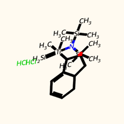 C[Si](C)(C)[N]([Si](C)(C)C)[Ti]([CH3])([CH3])(=[SiH2])[CH]1CCC2CC=CC=C21.Cl.Cl